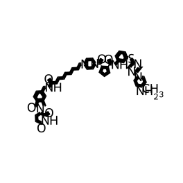 CC1(N)CCN(c2cnc(Sc3cccc(NC(=O)[C@H]4CCC[C@@H]4C(=O)N4CCN(CCCCCCCCC(=O)NCc5ccc6c(c5)CN(C5CCC(=O)NC5=O)C6=O)CC4)c3)cn2)CC1